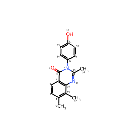 Cc1ccc2c(=O)n(-c3ccc(O)cc3)c(C)nc2c1C